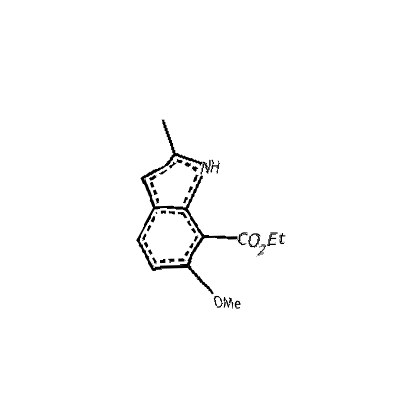 CCOC(=O)c1c(OC)ccc2cc(C)[nH]c12